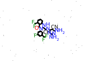 CC(NC1N=C(N)N=C(N)C1C#N)c1nc2cccc(C(F)F)c2c(=O)n1-c1cc(F)cc(C(F)F)c1